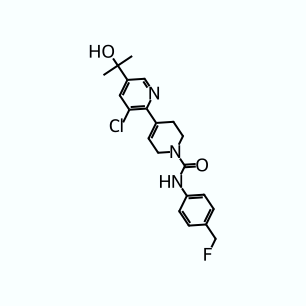 CC(C)(O)c1cnc(C2=CCN(C(=O)Nc3ccc(CF)cc3)CC2)c(Cl)c1